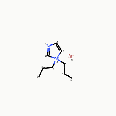 CCC[N+]1(CCC)C=CN=C1.[Br-]